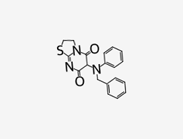 O=C1N=C2SCCN2C(=O)C1N(Cc1ccccc1)c1ccccc1